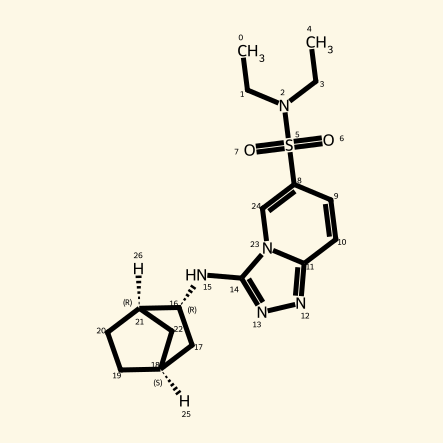 CCN(CC)S(=O)(=O)c1ccc2nnc(N[C@@H]3C[C@H]4CC[C@@H]3C4)n2c1